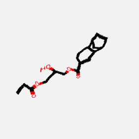 C=CC(=O)OCC(O)COC(=O)C1CC2C3CCC(C3)C2C1